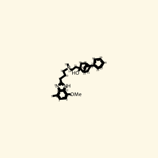 COc1ccc(C)c2nc(CCCN(C)CCC3(O)CC4CCC3C=C4c3ccccc3)[nH]c12